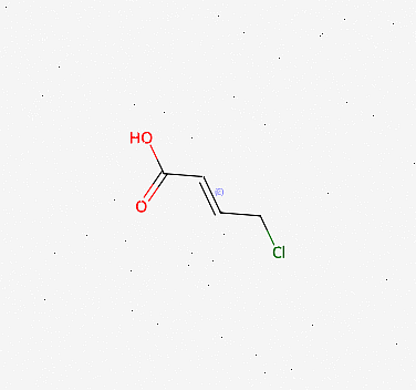 O=C(O)/C=C/CCl